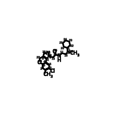 Cc1cc2c(cc1Cl)-c1c(cnn1CC(=O)NCCN(C)C1CCCCC1)CO2